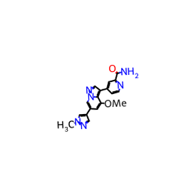 COc1cc(-c2cnn(C)c2)cn2ncc(-c3ccnc(C(N)=O)c3)c12